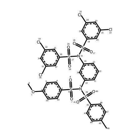 COc1ccc(S(=O)(=O)N(c2cccc(N(S(=O)(=O)c3cc(Cl)cc(Cl)c3)S(=O)(=O)c3cc(Cl)cc(Cl)c3)c2)S(=O)(=O)c2ccc(C)cc2)cc1